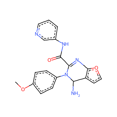 COc1ccc(N2C(C(=O)Nc3cccnc3)=Nc3occc3C2N)cc1